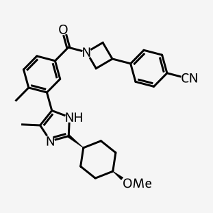 CO[C@H]1CC[C@@H](c2nc(C)c(-c3cc(C(=O)N4CC(c5ccc(C#N)cc5)C4)ccc3C)[nH]2)CC1